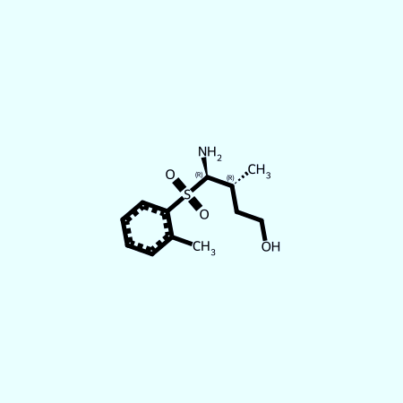 Cc1ccccc1S(=O)(=O)[C@@H](N)[C@H](C)CCO